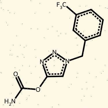 NC(=O)Oc1cn(Cc2cccc(C(F)(F)F)c2)nn1